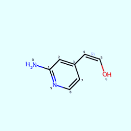 Nc1cc(/C=C\O)ccn1